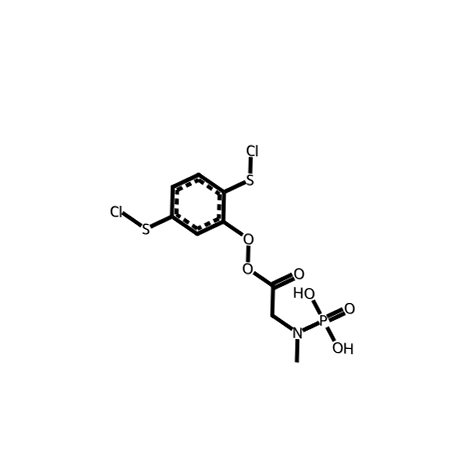 CN(CC(=O)OOc1cc(SCl)ccc1SCl)P(=O)(O)O